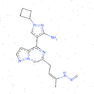 C=NN/C(C)=C\Cc1cn2nccc2c(-c2cn(C3CCC3)nc2N)n1